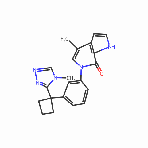 Cn1cnnc1C1(c2cccc(-n3cc(C(F)(F)F)c4cc[nH]c4c3=O)c2)CCC1